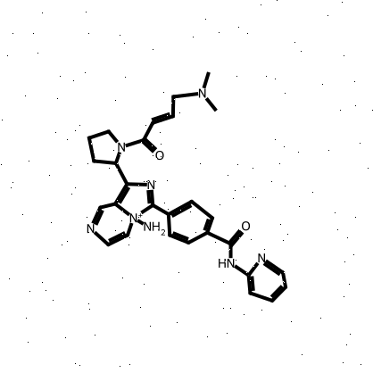 CN(C)C/C=C/C(=O)N1CCCC1C1=C2C=NC=C[N+]2(N)C(c2ccc(C(=O)Nc3ccccn3)cc2)=N1